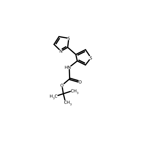 CC(C)(C)OC(=O)Nc1cscc1-c1nccs1